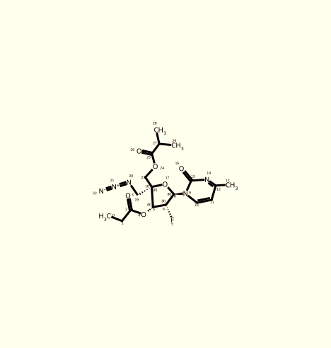 CCC(=O)O[C@H]1[C@@H](F)[C@H](n2ccc(C)nc2=O)O[C@]1(CN=[N+]=[N-])COC(=O)C(C)C